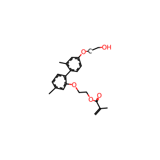 C=C(C)C(=O)OCCOc1cc(C)ccc1-c1ccc(OCCO)cc1C